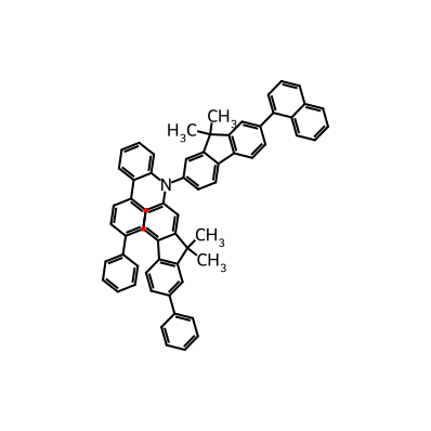 CC1(C)c2cc(-c3ccccc3)ccc2-c2ccc(N(c3ccc4c(c3)C(C)(C)c3cc(-c5cccc6ccccc56)ccc3-4)c3ccccc3-c3ccc(-c4ccccc4)cc3)cc21